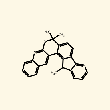 CC1c2cccnc2-c2ccc3c(c21)-c1cc2ccccc2nc1OC3(C)C